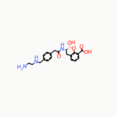 NCCNCc1ccc(CC(=O)N[C@H]2Cc3cccc(C(=O)O)c3OB2O)cc1